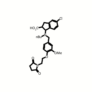 CCCCN(Cc1ccc(OCCN2C(=O)CCC2=O)c(OC)c1)C1c2ccc(Cl)cc2CC1C(=O)O